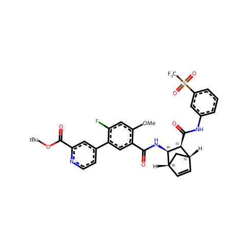 COc1cc(F)c(-c2ccnc(C(=O)OC(C)(C)C)c2)cc1C(=O)N[C@H]1[C@@H](C(=O)Nc2cccc(S(=O)(=O)C(F)(F)F)c2)[C@@H]2C=C[C@H]1C2